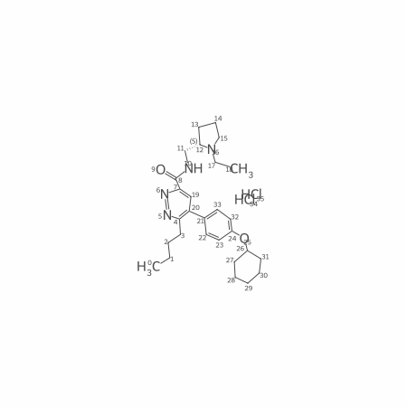 CCCCc1nnc(C(=O)NC[C@@H]2CCCN2CC)cc1-c1ccc(OC2CCCCC2)cc1.Cl.Cl